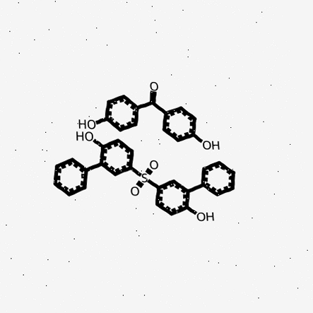 O=C(c1ccc(O)cc1)c1ccc(O)cc1.O=S(=O)(c1ccc(O)c(-c2ccccc2)c1)c1ccc(O)c(-c2ccccc2)c1